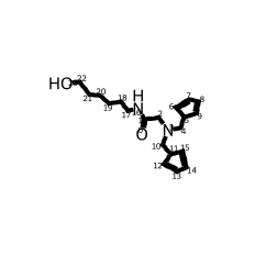 O=C(CN(CC1C=CC=C1)CC1C=CC=C1)NCCCCCCO